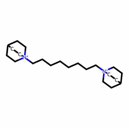 C(CCCC[N+]12CCC(CC1)CC2)CCC[N+]12CCC(CC1)CC2